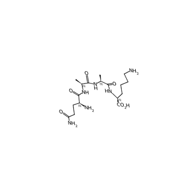 C[C@H](NC(=O)[C@H](C)NC(=O)[C@@H](N)CCC(N)=O)C(=O)N[C@@H](CCCCN)C(=O)O